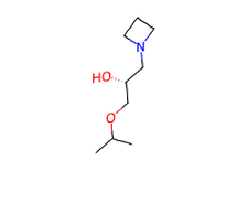 CC(C)OC[C@H](O)CN1CCC1